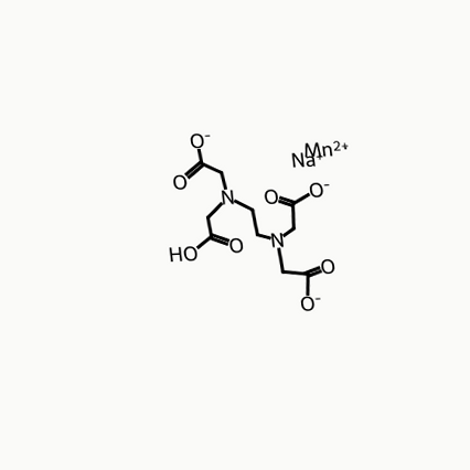 O=C([O-])CN(CCN(CC(=O)[O-])CC(=O)O)CC(=O)[O-].[Mn+2].[Na+]